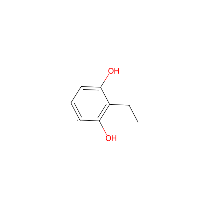 CCc1c(O)[c]ccc1O